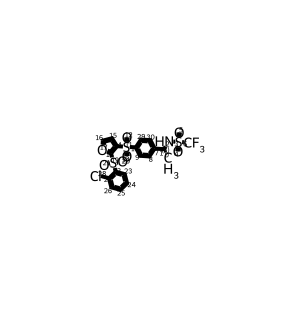 C[C@H](NS(=O)(=O)C(F)(F)F)c1ccc(S(=O)(=O)c2ccoc2S(=O)(=O)c2ccccc2Cl)cc1